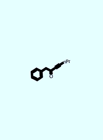 CCCC#CC(=O)Cc1ccccc1